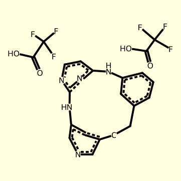 O=C(O)C(F)(F)F.O=C(O)C(F)(F)F.c1cc2cc(c1)Nc1ccnc(n1)Nc1cncc(c1)CC2